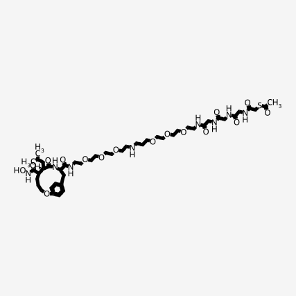 CC(=O)SCC(=O)NCC(=O)NCC(=O)NCC(=O)NCCOCCOCCOCCCNCCOCCOCCOCCNC(=O)C1Cc2ccc(cc2)OCCCC(C(=O)NO)[C@@H](CC(C)C)C(=O)N1